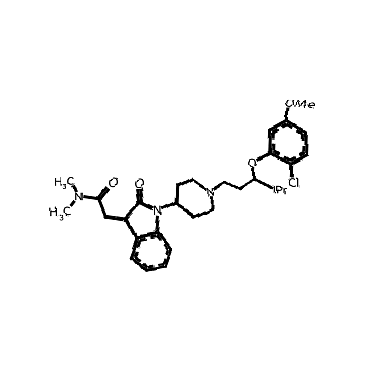 COc1ccc(Cl)c(OC(CCN2CCC(N3C(=O)C(CC(=O)N(C)C)c4ccccc43)CC2)C(C)C)c1